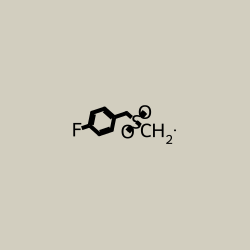 [CH2]S(=O)(=O)Cc1ccc(F)cc1